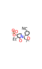 CCc1c(OS(C)(=O)=O)ccn(C2=CC(C)(C)Oc3ccc(C#N)cc32)c1=O